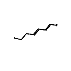 FC=CC=CCCF